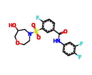 O=C(Nc1ccc(F)c(F)c1)c1ccc(F)c(S(=O)(=O)N2CCOCC(O)C2)c1